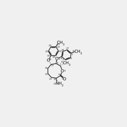 Cc1ccc(O[C@H]2[C@H](C)OC(=O)[C@@H](N)CCC[C@@H]2Oc2ccc(C)cc2)cc1